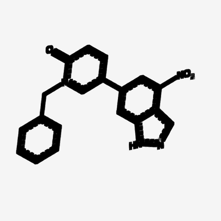 O=c1ccc(-c2cc([N+](=O)[O-])c3cn[nH]c3c2)cn1Cc1ccccc1